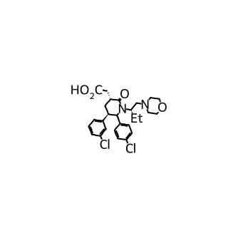 CC[C@@H](CN1CCOCC1)N1C(=O)[C@@H](CC(=O)O)C[C@H](c2cccc(Cl)c2)C1c1ccc(Cl)cc1